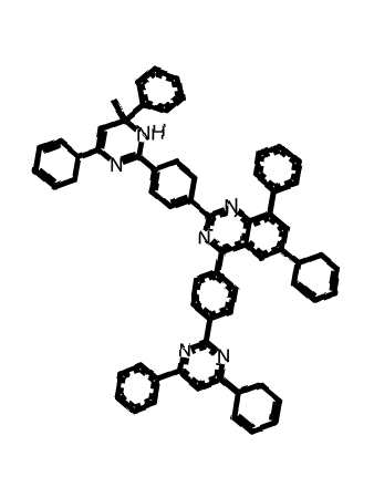 CC1(c2ccccc2)C=C(C2C=CC=CC2)N=C(C2=CC=C(c3nc(-c4ccc(-c5nc(-c6ccccc6)cc(C6C=CC=CC6)n5)cc4)c4cc(C5C=CC=CC5)cc(-c5ccccc5)c4n3)CC2)N1